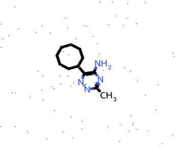 Cc1nnc(C2CCCCCCC2)c(N)n1